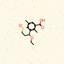 CCOC1CC[S+]([O-])c2c(C)cc(C(=O)O)c(C)c21